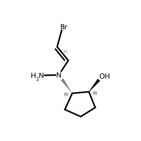 NN(/C=C/Br)[C@H]1CCC[C@@H]1O